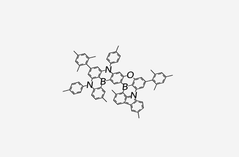 Cc1ccc(N2c3ccc(C)cc3B3c4cc5c(cc4N(c4ccc(C)cc4)c4cc(-c6c(C)cc(C)cc6C)cc2c43)Oc2cc(-c3c(C)cc(C)cc3C)cc3c2B5c2c(C)ccc4c5cc(C)ccc5n-3c24)cc1